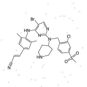 Cc1cc(/C=C/C#N)cc(C)c1Nc1nc(N(Cc2ccc(S(C)(=O)=O)cc2Cl)C2CCNCC2)ncc1Br